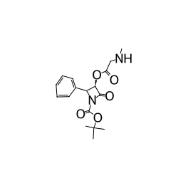 CNCC(=O)O[C@H]1C(=O)N(C(=O)OC(C)(C)C)C1c1ccccc1